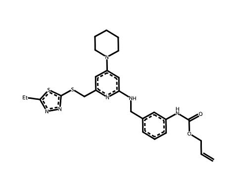 C=CCOC(=O)Nc1cccc(CNc2cc(N3CCCCC3)cc(CSc3nnc(CC)s3)n2)c1